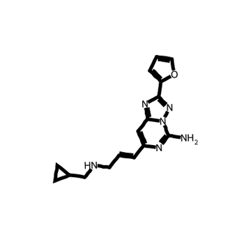 Nc1nc(C=CCNCC2CC2)cc2nc(-c3ccco3)nn12